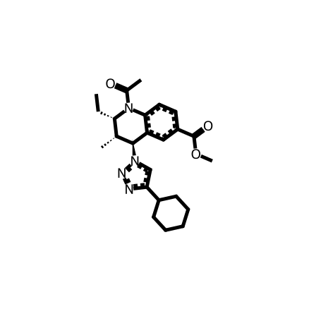 CC[C@H]1[C@@H](C)[C@H](n2cc(C3CCCCC3)nn2)c2cc(C(=O)OC)ccc2N1C(C)=O